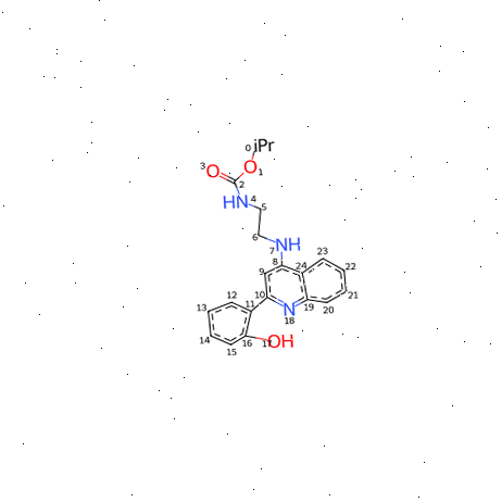 CC(C)OC(=O)NCCNc1cc(-c2ccccc2O)nc2ccccc12